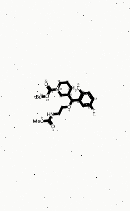 COC(=O)NCCOC(c1cc(Cl)ccc1C)C1CCCN(C(=O)OC(C)(C)C)C1